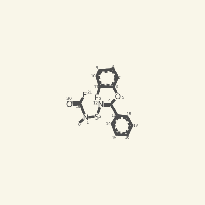 CN(SN=C(Oc1ccccc1F)c1ccccc1)C(=O)F